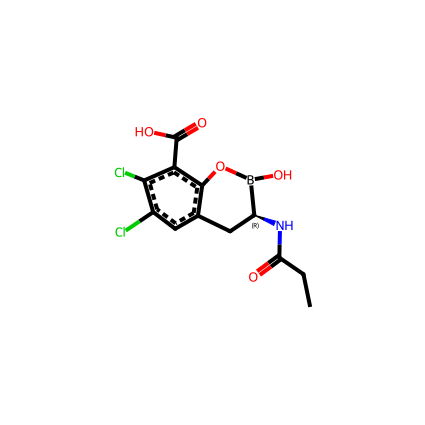 CCC(=O)N[C@H]1Cc2cc(Cl)c(Cl)c(C(=O)O)c2OB1O